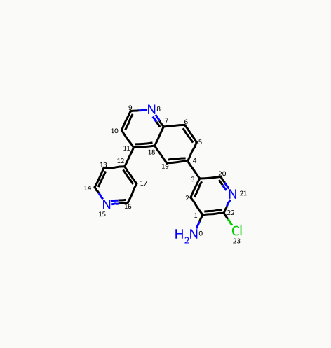 Nc1cc(-c2ccc3nccc(-c4ccncc4)c3c2)cnc1Cl